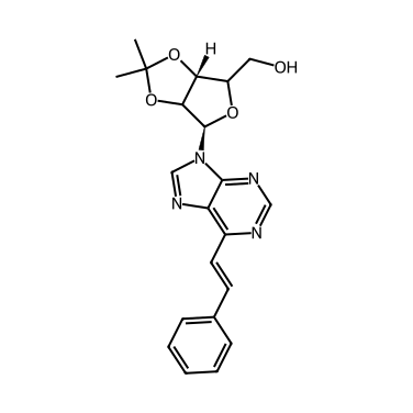 CC1(C)OC2[C@H](O1)C(CO)O[C@H]2n1cnc2c(/C=C/c3ccccc3)ncnc21